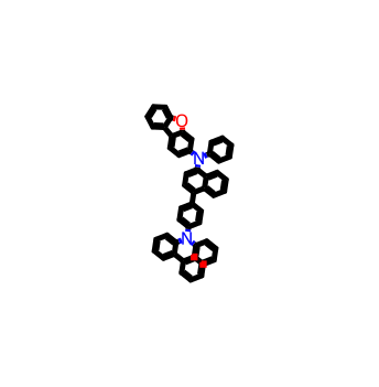 c1ccc(-c2ccccc2N(c2ccccc2)c2ccc(-c3ccc(N(c4ccccc4)c4ccc5c(c4)oc4ccccc45)c4ccccc34)cc2)cc1